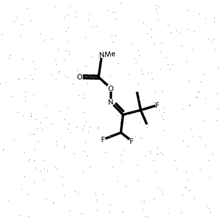 CNC(=O)ON=C(C(F)F)C(C)(C)F